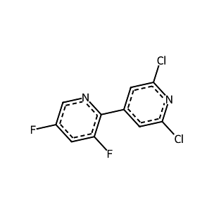 Fc1cnc(-c2cc(Cl)nc(Cl)c2)c(F)c1